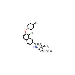 CCC1CCC(Oc2ccc3ccc(CN[C@H]4C[C@@H](C(=O)O)C4(C)C)cc3c2Cl)CC1